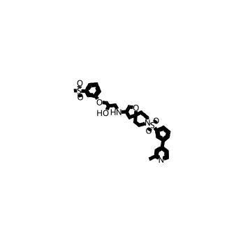 Cc1cc(-c2cccc(S(=O)(=O)N3CCC4(CC3)CC(NCC(O)COc3cccc(S(C)(=O)=O)c3)CO4)c2)ccn1